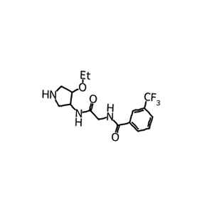 CCOC1CNCC1NC(=O)CNC(=O)c1cccc(C(F)(F)F)c1